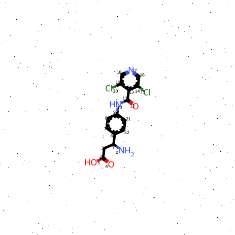 NC(CC(=O)O)c1ccc(NC(=O)c2c(Cl)cncc2Cl)cc1